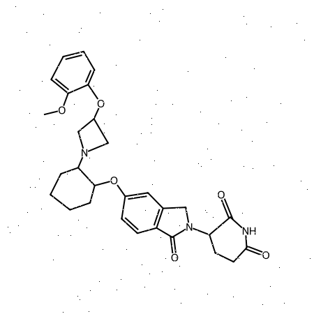 COc1ccccc1OC1CN(C2CCCCC2Oc2ccc3c(c2)CN(C2CCC(=O)NC2=O)C3=O)C1